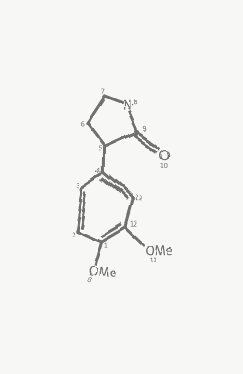 COc1ccc(C2CC[N]C2=O)cc1OC